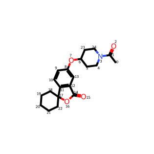 CC(=O)N1CCC(Oc2ccc3c(c2)C(=O)OC32CCCCC2)CC1